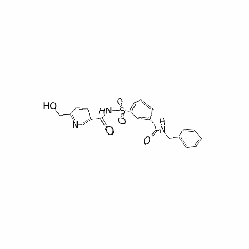 O=C(NCc1ccccc1)c1cccc(S(=O)(=O)NC(=O)c2ccc(CO)nc2)c1